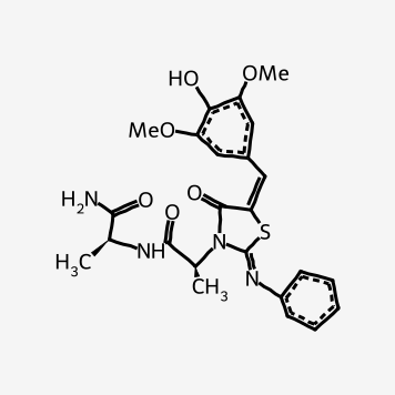 COc1cc(C=C2SC(=Nc3ccccc3)N([C@@H](C)C(=O)N[C@@H](C)C(N)=O)C2=O)cc(OC)c1O